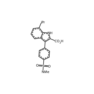 CNS(=O)(=O)c1ccc(-c2c(C(=O)O)[nH]c3c(C(C)C)cccc23)cc1